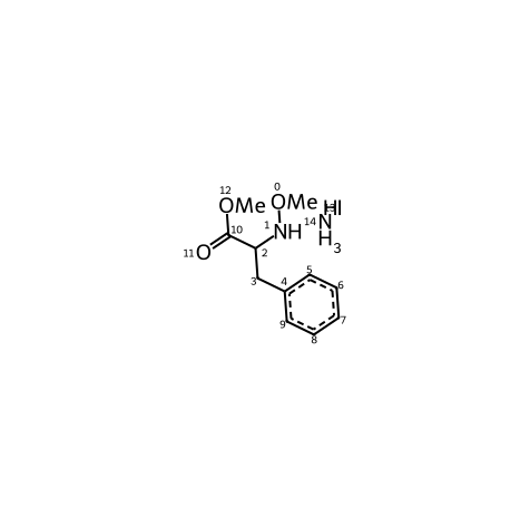 CONC(Cc1ccccc1)C(=O)OC.I.N